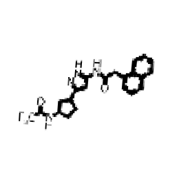 O=C(Cc1cccc2ccccc12)Nc1cc(C2CCC(NC(=O)C(F)(F)F)C2)n[nH]1